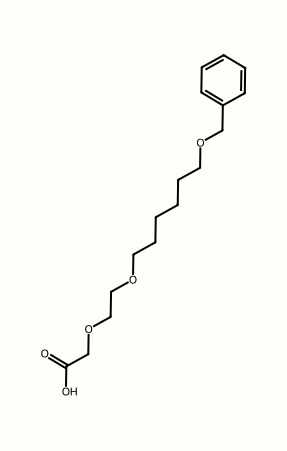 O=C(O)COCCOCCCCCCOCc1ccccc1